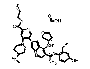 CCc1cc(O)ccc1N=C(N)c1cnn2cc(-c3cnc(C(=O)NCCOC)cc3N3CCC(N(C)C)CC3)cc2c1N[C@@H]1CCOC1.O=CO